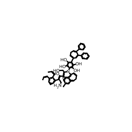 C/C=C\c1cccc(/C(CN)=C(O)/C(O)=C(\CO)N(C2=c3ccc(C)cc3=CCC=C2)c2c(O)c(O)c(C3=CCC=C(c4ccccc4)C(c4ccccc4)=C3)c(O)c2O)c1/C=C\C